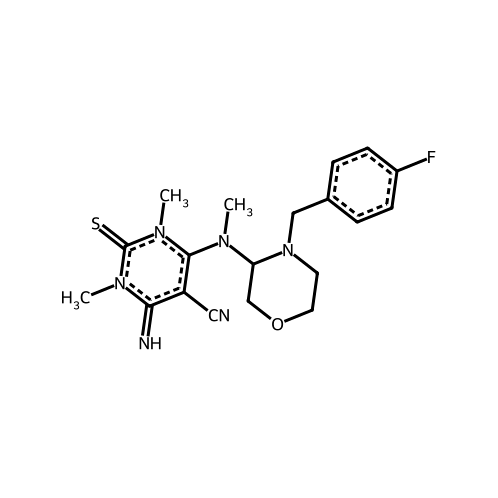 CN(c1c(C#N)c(=N)n(C)c(=S)n1C)C1COCCN1Cc1ccc(F)cc1